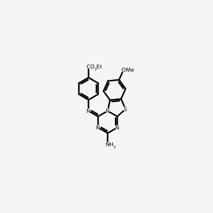 CCOC(=O)c1ccc(/N=c2/nc(N)nc3sc4cc(OC)ccc4n23)cc1